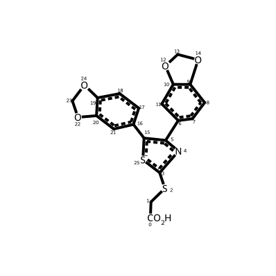 O=C(O)CSc1nc(-c2ccc3c(c2)OCO3)c(-c2ccc3c(c2)OCO3)s1